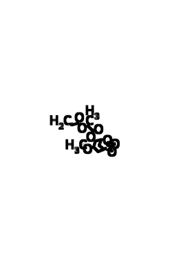 C=CC(=O)OC(C)C(=O)OC1C(OC)CC2CC1OS2(=O)=O